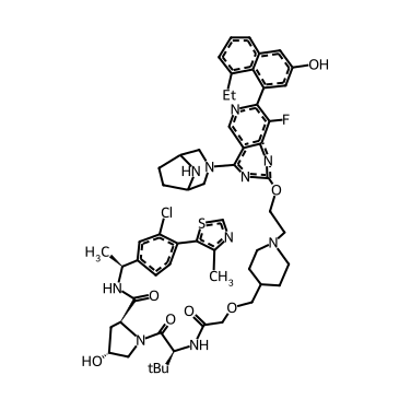 CCc1cccc2cc(O)cc(-c3ncc4c(N5CC6CCC(C5)N6)nc(OCCN5CCC(COCC(=O)N[C@H](C(=O)N6C[C@H](O)C[C@H]6C(=O)N[C@@H](C)c6ccc(-c7scnc7C)c(Cl)c6)C(C)(C)C)CC5)nc4c3F)c12